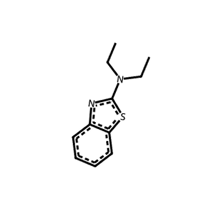 CCN(CC)c1nc2ccccc2s1